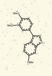 COc1ccc2c(-c3ccc(OC)c(OC)c3)coc2c1